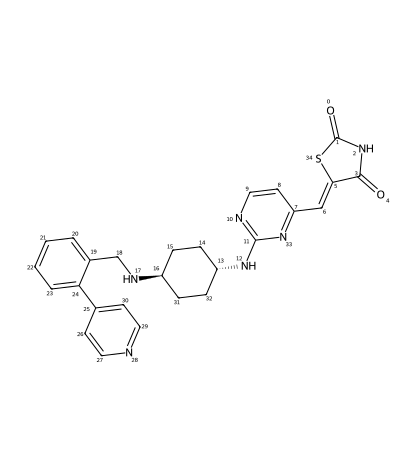 O=C1NC(=O)/C(=C/c2ccnc(N[C@H]3CC[C@H](NCc4ccccc4-c4ccncc4)CC3)n2)S1